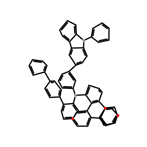 c1ccc(-c2ccc(-c3ccccc3N(c3cccc(-c4ccc5c(c4)c4ccccc4n5-c4ccccc4)c3)c3cccc(-c4ccccc4)c3-c3ccccc3-c3ccccc3)cc2)cc1